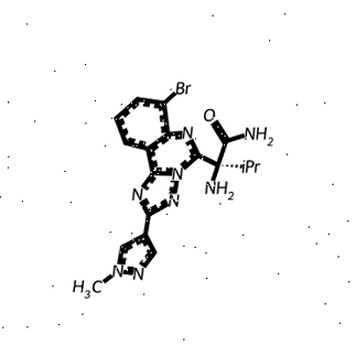 CC(C)[C@@](N)(C(N)=O)c1nc2c(Br)cccc2c2nc(-c3cnn(C)c3)nn12